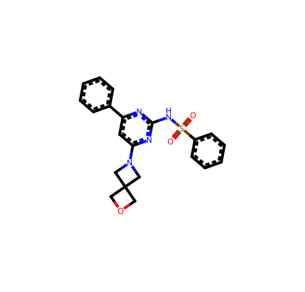 O=S(=O)(Nc1nc(-c2ccccc2)cc(N2CC3(COC3)C2)n1)c1ccccc1